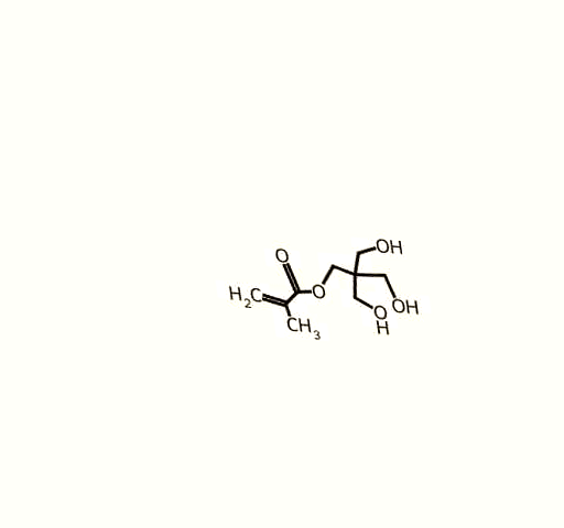 C=C(C)C(=O)OCC(CO)(CO)CO